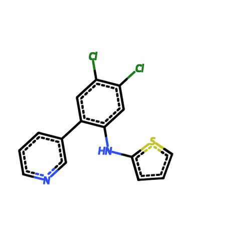 Clc1cc(Nc2cccs2)c(-c2cccnc2)cc1Cl